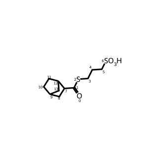 O=C(SCCCS(=O)(=O)O)C1CC2CCC1C2